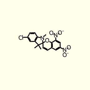 CN1c2ccc(Cl)cc2C(C)(C)C12C=Cc1cc([N+](=O)[O-])cc([N+](=O)[O-])c1O2